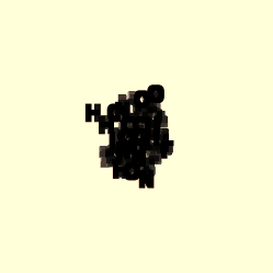 CN1CCC2(CC1)OC(=O)c1ccc(-c3ccc(C[C@@H](C#N)NC(=O)[C@@H]4[C@H]5CC[C@H](C5)N4C(=O)OC(C)(C)C)c(F)c3)cc12